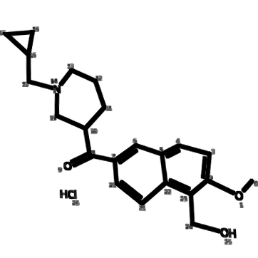 COc1ccc2cc(C(=O)C3CCCN(CC4CC4)C3)ccc2c1CO.Cl